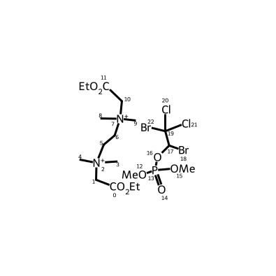 CCOC(=O)C[N+](C)(C)CC[N+](C)(C)CC(=O)OCC.COP(=O)(OC)OC(Br)C(Cl)(Cl)Br